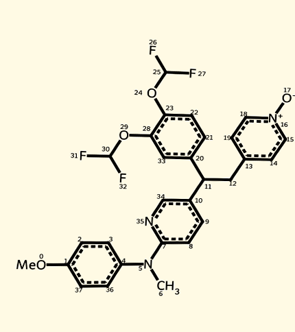 COc1ccc(N(C)c2ccc(C(Cc3cc[n+]([O-])cc3)c3ccc(OC(F)F)c(OC(F)F)c3)cn2)cc1